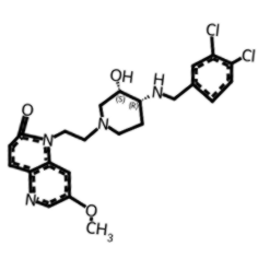 COc1cnc2ccc(=O)n(CCN3CC[C@@H](NCc4ccc(Cl)c(Cl)c4)[C@@H](O)C3)c2c1